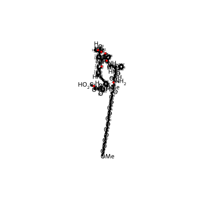 COCCOCCOCCOCCOCCOCCOCCOCCOCCOCCOCCOCCC(=O)NCCCC[C@H](N)C(=O)NCC(=O)N[C@@H](Cc1ccccc1)C(=O)NCC(=O)NCOC[C@](OC1CC1)(c1ccccc1)c1nc(N2CCC(N3CCC(C)(NCC#Cc4ccc(OC)c(N5CCC(=O)N(CNC(=O)CCC(=O)O)C5=O)c4)CC3)CC2)nc2ccc(-c3cn(C)c(=O)c4[nH]ccc34)cc12